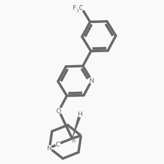 FC(F)(F)c1cccc(-c2ccc(O[C@H]3CN4CCC3CC4)cn2)c1